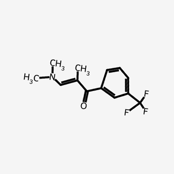 C/C(=C\N(C)C)C(=O)c1cccc(C(F)(F)F)c1